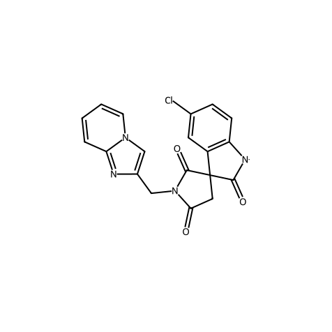 O=C1CC2(C(=O)[N]c3ccc(Cl)cc32)C(=O)N1Cc1cn2ccccc2n1